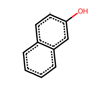 Oc1[c]cc2ccccc2c1